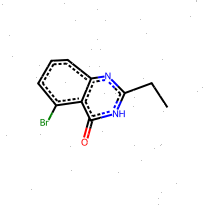 CCc1nc2cccc(Br)c2c(=O)[nH]1